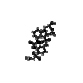 CCS(=O)(=O)c1ccc(OS(=O)(=O)c2c(C)n(CC(=O)O)c3cccc(NC(C)=O)c23)cc1